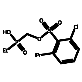 CCP(=O)(O)COS(=O)(=O)c1c(Cl)cccc1C(C)C